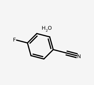 N#Cc1ccc(F)cc1.O